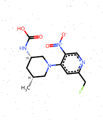 C[C@@H]1C[C@H](NC(=O)O)CN(c2cc(CF)ncc2[N+](=O)[O-])C1